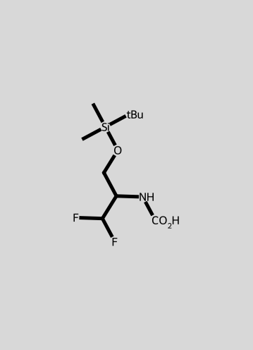 CC(C)(C)[Si](C)(C)OCC(NC(=O)O)C(F)F